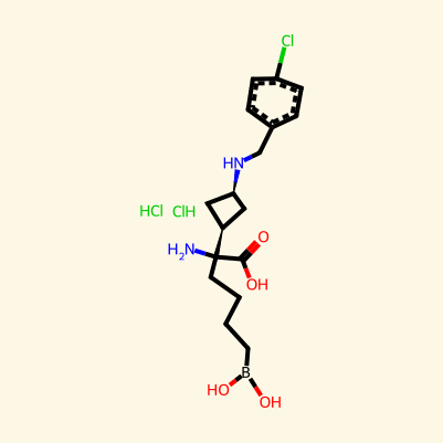 Cl.Cl.NC(CCCCB(O)O)(C(=O)O)[C@H]1C[C@@H](NCc2ccc(Cl)cc2)C1